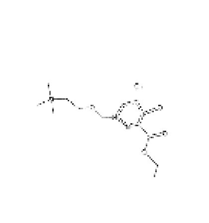 CCOC(=O)c1nn(COCC[Si](C)(C)C)cc(O)c1=O